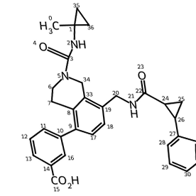 CC1(NC(=O)N2CCc3c(-c4cccc(C(=O)O)c4)ccc(CNC(=O)C4CC4c4ccccc4)c3C2)CC1